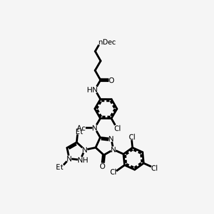 CCCCCCCCCCCCCC(=O)Nc1ccc(Cl)c(N(C(C)=O)C2=NN(c3c(Cl)cc(Cl)cc3Cl)C(=O)C2N2NN(CC)C=C2CC)c1